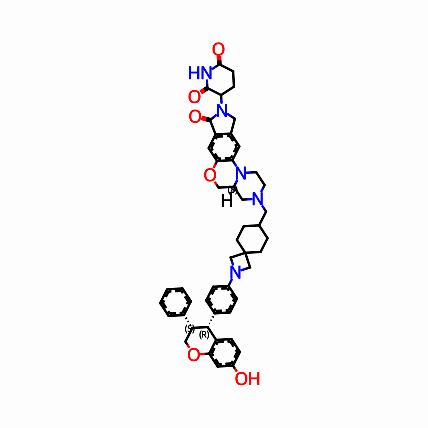 O=C1CCC(N2Cc3cc4c(cc3C2=O)OC[C@@H]2CN(CC3CCC5(CC3)CN(c3ccc([C@@H]6c7ccc(O)cc7OC[C@@H]6c6ccccc6)cc3)C5)CCN42)C(=O)N1